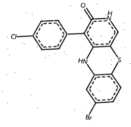 O=c1[nH]cc2c(c1-c1ccc(Cl)cc1)Nc1cc(Br)ccc1S2